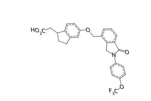 O=C(O)CC1CCc2cc(OCc3cccc4c3CN(c3ccc(OC(F)(F)F)cc3)C4=O)ccc21